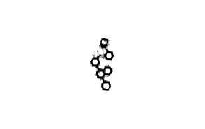 c1cc(Nc2ccccc2C2CC3CCC2C3)cc(-c2ccc(C3CCCCC3)c3ccccc23)c1